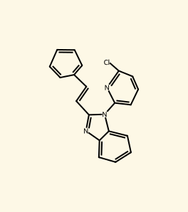 Clc1cccc(-n2c(/C=C/c3ccccc3)nc3ccccc32)n1